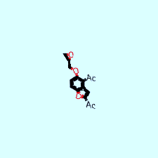 CC(=O)c1cc2c(C(C)=O)c(OCC3CO3)ccc2o1